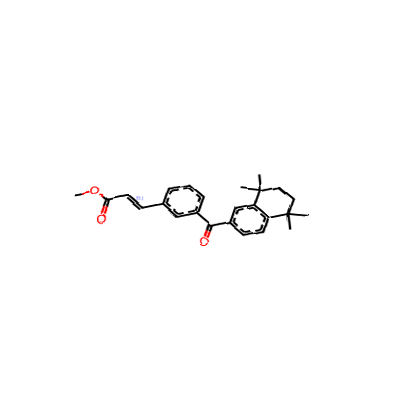 COC(=O)/C=C/c1cccc(C(=O)c2ccc3c(c2)C(C)(C)CCC3(C)C)c1